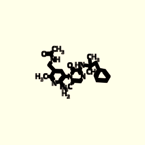 CC(=O)NCc1cc(-n2c(C)cnc(NC(C)(C)Cc3ccccc3)c2=O)c(N)nc1C